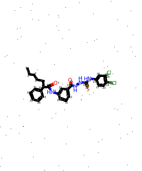 CCCCCC(C(=O)Nc1cccc(C(=O)NNC(=S)Nc2ccc(Cl)c(Cl)c2)c1)c1ccccc1